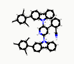 Cc1cc(C)c(-c2ccc3c4ccccc4n(-c4cc(-c5ccccc5C#N)c(-n5c6ccccc6c6ccc(-c7c(C)cc(C)cc7C)cc65)cn4)c3c2)c(C)c1